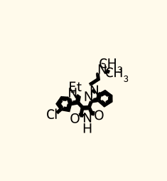 CCn1cc(C2=C(c3nn(CCCN(C)C)c4ccccc34)C(=O)NC2=O)c2cc(Cl)ccc21